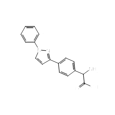 NC(C(=O)O)c1ccc(-c2ccn(-c3ccccc3)n2)cc1